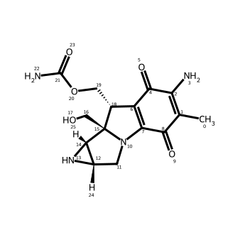 CC1=C(N)C(=O)C2=C(C1=O)N1C[C@@H]3N[C@@H]3[C@]1(CO)[C@@H]2COC(N)=O